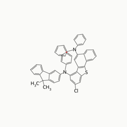 CC1(C)c2ccccc2-c2cc(N(c3ccccc3)c3cc(Cl)cc4sc5c6ccccc6c(N(c6ccccc6)c6ccccc6)cc5c34)ccc21